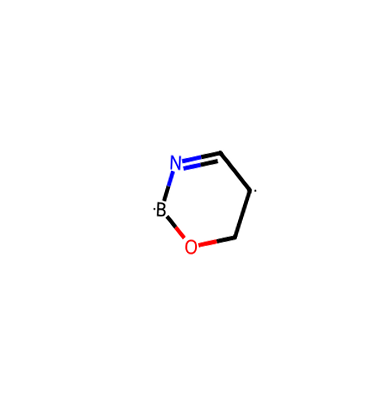 [B]1N=C[CH]CO1